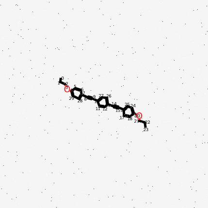 CCCOc1ccc(C#Cc2ccc(C#Cc3ccc(OCCC)cc3)cc2)cc1